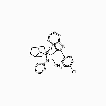 CCN(C(=O)N1C2CCC1CN(Cc1c(-c3ccc(Cl)cc3)nc3ccccn13)C2)c1ccccc1